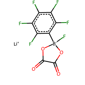 O=C1O[B-](F)(c2c(F)c(F)c(F)c(F)c2F)OC1=O.[Li+]